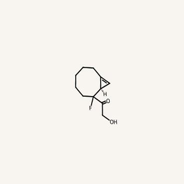 O=C(CO)C1(F)CCCCCC2=C[C@H]21